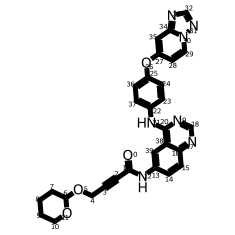 O=C(C#CCOC1CCCCO1)Nc1ccc2ncnc(Nc3ccc(Oc4ccn5ncnc5c4)cc3)c2c1